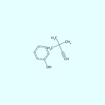 C#CC(C)(C)C.Oc1ccccc1